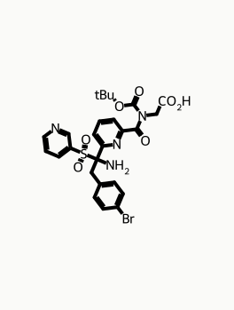 CC(C)(C)OC(=O)N(CC(=O)O)C(=O)c1cccc(C(N)(Cc2ccc(Br)cc2)S(=O)(=O)c2cccnc2)n1